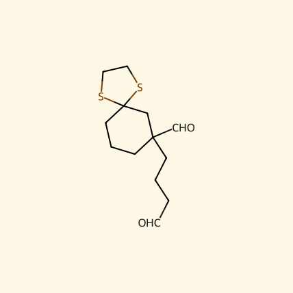 O=CCCCC1(C=O)CCCC2(C1)SCCS2